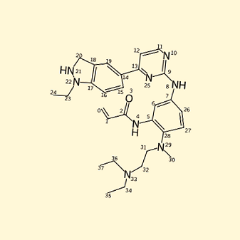 C=CC(=O)Nc1cc(Nc2nccc(-c3ccc4c(c3)CNN4CC)n2)ccc1N(C)CCN(CC)CC